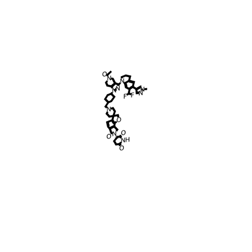 CC(=O)N1CCc2c(c(N3CCCc4cc(-c5cnn(C)c5)c(C(F)F)cc43)nn2C2CCC(CN3CCC4(CC3)COc3c4ccc4c3CN([C@H]3CCC(=O)NC3=O)C4=O)CC2)C1